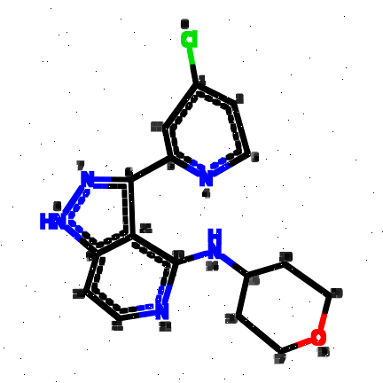 Clc1ccnc(-c2n[nH]c3ccnc(NC4CCOCC4)c23)c1